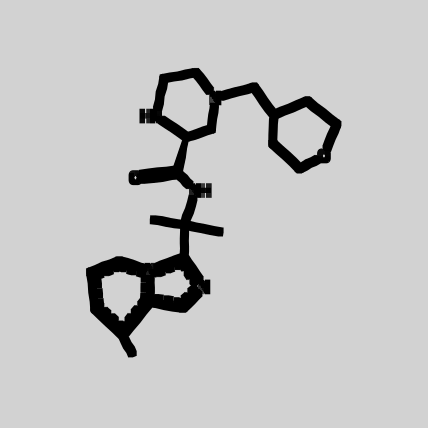 Cc1cccn2c(C(C)(C)NC(=O)[C@@H]3CN(CC4CCOCC4)CCN3)ncc12